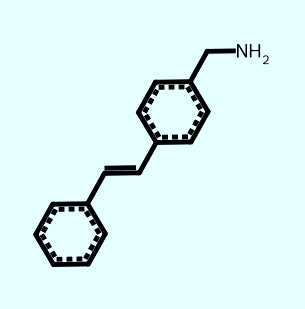 NCc1ccc(C=Cc2ccccc2)cc1